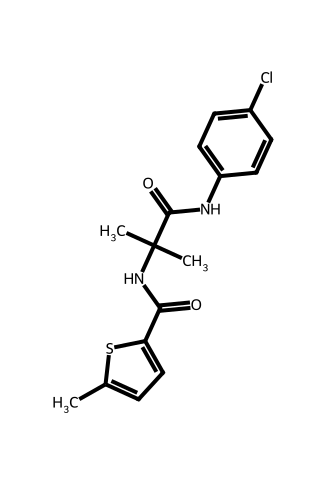 Cc1ccc(C(=O)NC(C)(C)C(=O)Nc2ccc(Cl)cc2)s1